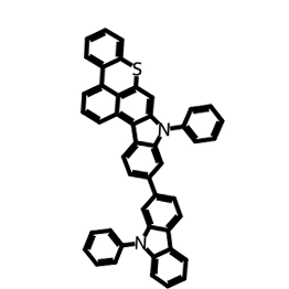 c1ccc(-n2c3ccccc3c3ccc(-c4ccc5c6c7cccc8c7c(cc6n(-c6ccccc6)c5c4)Sc4ccccc4-8)cc32)cc1